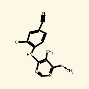 COc1ncnc(Nc2ccc(C#N)cc2Cl)c1C